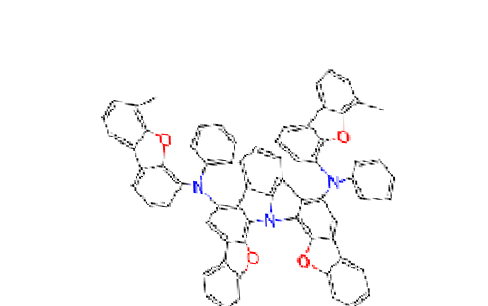 Cc1cccc2c1oc1c(N(c3ccccc3)c3cc4c5ccccc5oc4c4c3c3cccc5c6c(N(c7ccccc7)c7cccc8c7oc7c(C)cccc78)cc7c8ccccc8oc7c6n4c35)cccc12